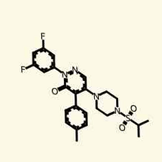 Cc1ccc(-c2c(N3CCN(S(=O)(=O)C(C)C)CC3)cnn(-c3cc(F)cc(F)c3)c2=O)cc1